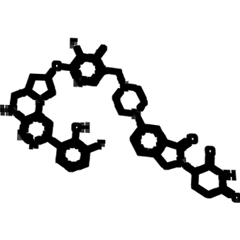 Cc1c(CN2CCN(c3ccc4c(c3)C(=O)N(C3CCC(=O)NC3=O)C4)CC2)cnc(OC2CC3CNc4nnc(-c5cccc(F)c5O)cc4N3C2)c1F